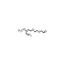 CON(CN)CCOCCOCC=O